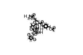 CC(=O)OCc1ccc(NC(=O)[C@H](CCCNC(N)=O)NC(=O)[C@@H](NC(=O)[C@@H](CCN2C(=O)C=CC2=O)S(=O)(=O)O)C(C)C)cc1